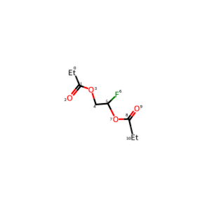 CCC(=O)OCC(F)OC(=O)CC